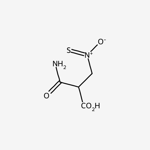 NC(=O)C(C[N+]([O-])=S)C(=O)O